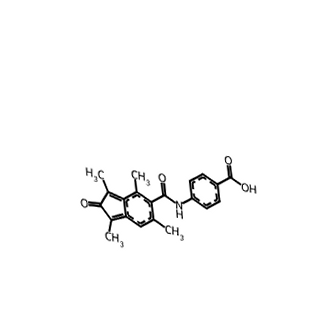 CC1=c2cc(C)c(C(=O)Nc3ccc(C(=O)O)cc3)c(C)c2=C(C)C1=O